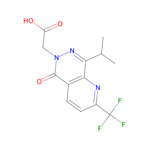 CC(C)c1nn(CC(=O)O)c(=O)c2ccc(C(F)(F)F)nc12